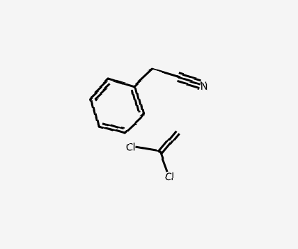 C=C(Cl)Cl.N#CCc1ccccc1